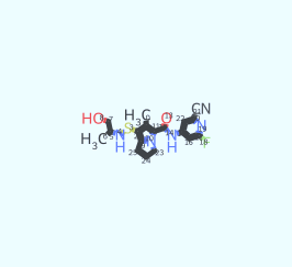 Cc1c(SNC(C)CO)c2n(c1C(=O)Nc1cc(F)nc(C#N)c1)CC=C2